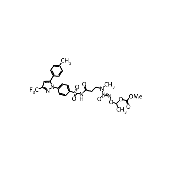 COC(=O)OC(C)ON=[N+]([O-])N(C)CCC(=O)NS(=O)(=O)c1ccc(-n2nc(C(F)(F)F)cc2-c2ccc(C)cc2)cc1